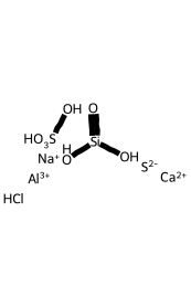 Cl.O=S(=O)(O)O.O=[Si](O)O.[Al+3].[Ca+2].[Na+].[S-2]